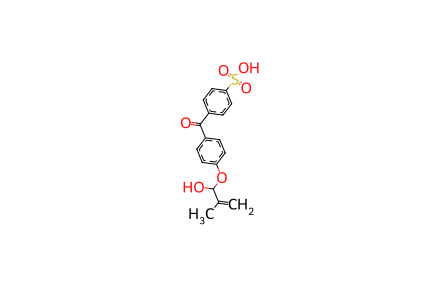 C=C(C)C(O)Oc1ccc(C(=O)c2ccc(S(=O)(=O)O)cc2)cc1